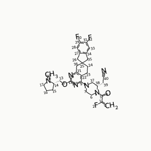 C=C(F)C(=O)N1CCN(c2nc(OC[C@@H]3CCCN3C)nc3c2CCC2(Cc4cc(F)c(F)cc4C2)C3)C[C@@H]1CC#N